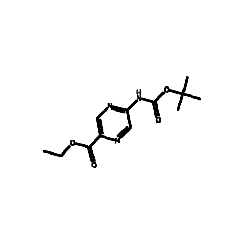 CCOC(=O)c1cnc(NC(=O)OC(C)(C)C)cn1